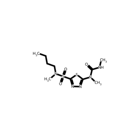 CCCCN(C)S(=O)(=O)c1nnc(N(C)C(=O)NC)s1